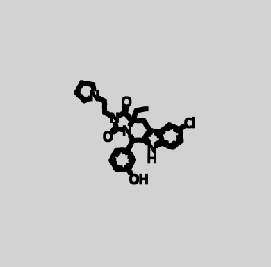 CCC12Cc3c([nH]c4ccc(Cl)cc34)C(c3cccc(O)c3)N1C(=O)N(CCN1CCCC1)C2=O